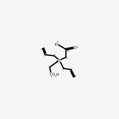 C=CCS(CC=C)(CC(=O)O)CC(=O)CC